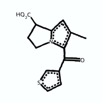 Cc1cc2n(c1C(=O)c1ccsc1)CCC2C(=O)O